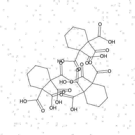 O=C(O)C1(C(=O)O)CCCCC1(C(=O)O)C(=O)OC(=O)C1(C(=O)OC(=O)C2(C(=O)O)CCCCC2(C(=O)O)C(=O)O)CCCCC1(C(=O)O)C(=O)O